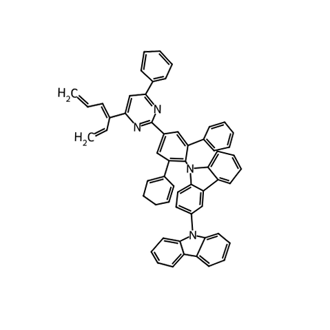 C=C/C=C(\C=C)c1cc(-c2ccccc2)nc(-c2cc(C3=CCCC=C3)c(-n3c4ccccc4c4cc(-n5c6ccccc6c6ccccc65)ccc43)c(-c3ccccc3)c2)n1